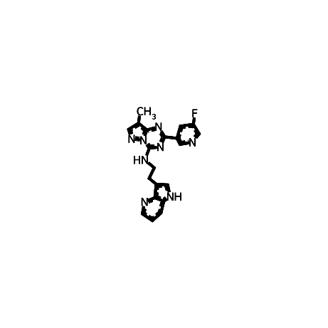 Cc1cnn2c(NCCc3c[nH]c4cccnc34)nc(-c3cncc(F)c3)nc12